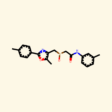 Cc1ccc(-c2nc(C[S+]([O-])CC(=O)Nc3cccc(C)c3)c(C)o2)cc1